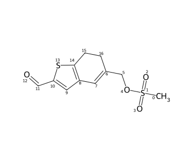 CS(=O)(=O)OCC1=Cc2cc(C=O)sc2CC1